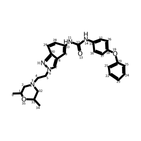 CC1CN(CCn2cc3cc(NC(=O)Nc4ccc(Oc5ccccc5)cc4)ccc3n2)CC(C)O1